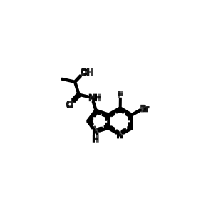 CC(O)C(=O)Nc1c[nH]c2ncc(Br)c(F)c12